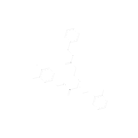 O=C(CCN[C@H](CSc1ccccc1O)C(=O)NCc1ccc(Cl)c(Cl)c1)CCc1ccccc1